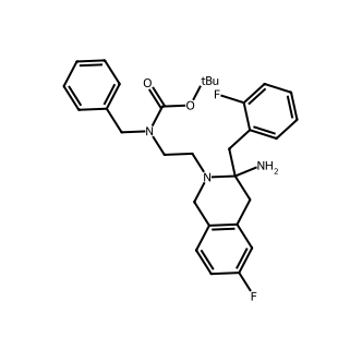 CC(C)(C)OC(=O)N(CCN1Cc2ccc(F)cc2CC1(N)Cc1ccccc1F)Cc1ccccc1